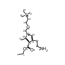 CCOC(=O)c1c(CCN)cn(COCC[Si](C)(C)C)c1C